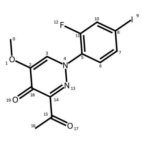 COc1cn(-c2ccc(I)cc2F)nc(C(C)=O)c1=O